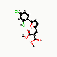 COC(=O)C(=Cc1ccc(-c2ccc(Cl)cc2Cl)o1)C(=O)OC